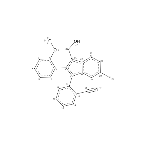 COc1ccccc1-c1c(-c2ccccc2C#N)c2cc(F)cnc2n1CO